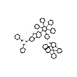 CC1(C)c2cc(-c3nc(-c4ccccc4)nc(-c4ccccc4)n3)ccc2-c2ccc(-c3c(-c4ccccc4)c(-c4ccccc4)c(-c4ccccc4)c(-c4ccccc4)c3-c3ccc(-n4c5ccccc5c5c6c(ccc54)-c4ccccc4C64c5ccccc5-c5ccccc54)cc3)cc21